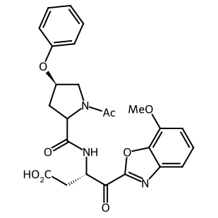 COc1cccc2nc(C(=O)[C@H](CC(=O)O)NC(=O)C3C[C@@H](Oc4ccccc4)CN3C(C)=O)oc12